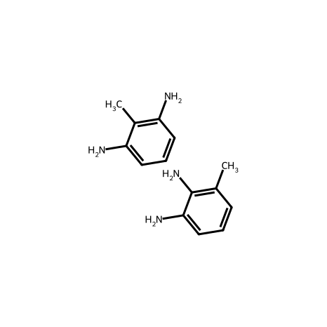 Cc1c(N)cccc1N.Cc1cccc(N)c1N